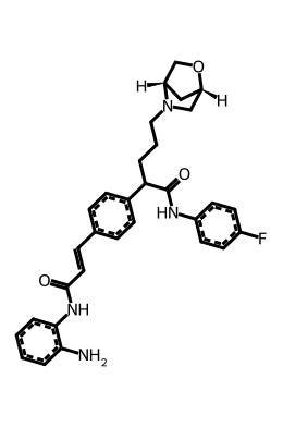 Nc1ccccc1NC(=O)/C=C/c1ccc(C(CCCN2C[C@@H]3C[C@H]2CO3)C(=O)Nc2ccc(F)cc2)cc1